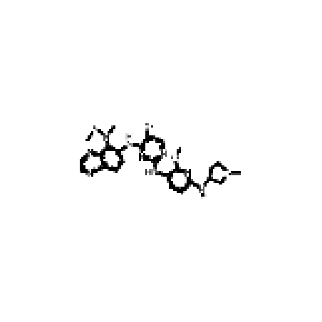 COc1nc(N(C)C2CCN(C)C2)ccc1Nc1ncc(Br)c(Nc2ccc3nccnc3c2N(C)SC)n1